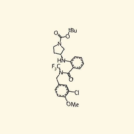 COc1ccc(CN(C(=O)c2ccccc2N[C@H]2CCN(C(=O)OC(C)(C)C)C2)C(F)(F)F)cc1Cl